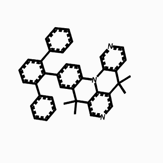 CC1(C)c2ccncc2N2c3ccc(-c4c(-c5ccccc5)cccc4-c4ccccc4)cc3C(C)(C)c3cncc1c32